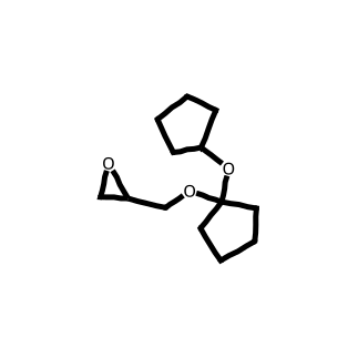 C1CC[C](OC2(OCC3CO3)CCCC2)C1